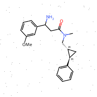 COc1cccc(C(N)CC(=O)N(C)C[C@@H]2C[C@H]2c2ccccc2)c1